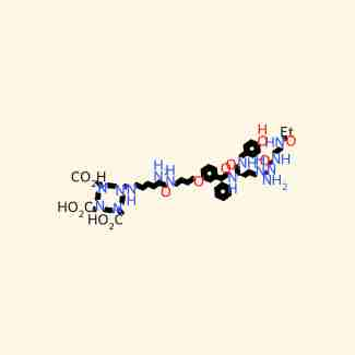 CCC(=O)NCCNC(=O)/N=C(/N)NCCC[C@@H](NC(=O)[C@H](c1ccccc1)c1cccc(OCCCCNC(=O)[C@H](N)CCCCNCN2CCN(CC(=O)O)CCN(CC(=O)O)CCN(CC(=O)O)CC2)c1)C(=O)NCc1ccc(O)cc1